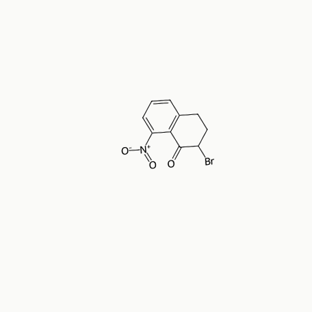 O=C1c2c(cccc2[N+](=O)[O-])CCC1Br